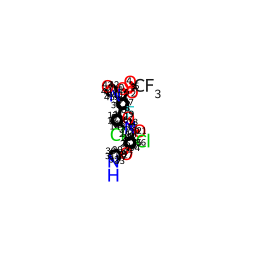 O=C(OC(=O)C(F)(F)F)c1cc(F)c(-c2cccc3c2OCN(C(=O)c2c(Cl)cc(O[C@@H]4CCCNC4)cc2Cl)C3)cc1N1CCOCC1